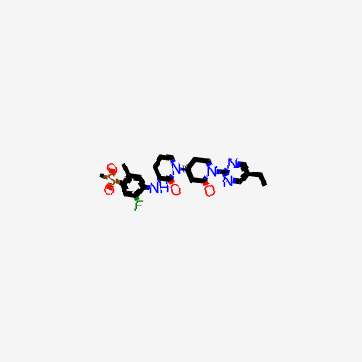 CCc1cnc(N2CC[C@H](N3CCCC(Nc4cc(C)c(S(C)(=O)=O)cc4F)C3=O)CC2=O)nc1